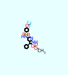 CCOC(=O)Oc1[nH]c2ncc(NS(=O)(=O)c3ccc(OC(F)(F)F)cc3)cc2c1-c1ccccc1